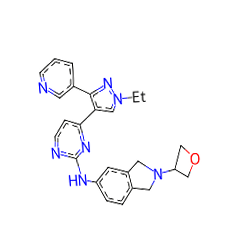 CCn1cc(-c2ccnc(Nc3ccc4c(c3)CN(C3COC3)C4)n2)c(-c2cccnc2)n1